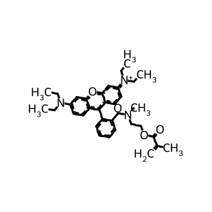 C=C(C)C(=O)OCCN(C)C(=O)c1ccccc1-c1c2ccc(=[N+](CC)CC)cc-2oc2cc(N(CC)CC)ccc12